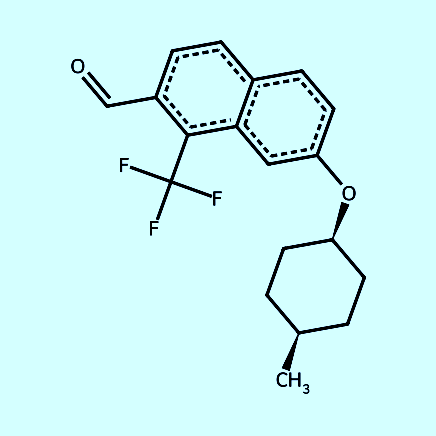 C[C@H]1CC[C@@H](Oc2ccc3ccc(C=O)c(C(F)(F)F)c3c2)CC1